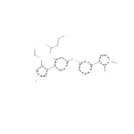 CC(CCO)Oc1cc(Nc2ccnc(-c3cnn(C)c3O)n2)ncc1-c1cn(C)cc1OCC(F)(F)F